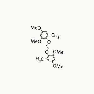 COc1cc(C)c(OCCOc2c(C)cc(OC)cc2OC)c(OC)c1